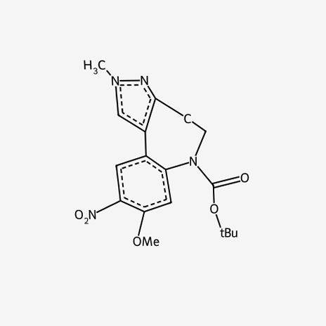 COc1cc2c(cc1[N+](=O)[O-])-c1cn(C)nc1CCN2C(=O)OC(C)(C)C